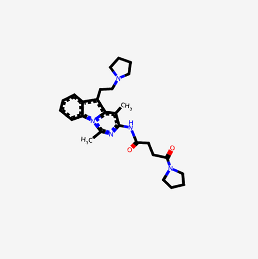 Cc1c(NC(=O)CCC(=O)N2CCCC2)nc(C)n2c1c(CCN1CCCC1)c1ccccc12